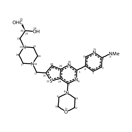 CNc1ccc(-c2nc(N3CCOCC3)c3sc(CN4CCN(C[C@H](O)C=O)CC4)cc3n2)cn1